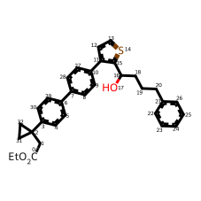 CCOC(=O)CC1(c2ccc(-c3ccc(-c4ccsc4C(O)CCCc4ccccc4)cc3)cc2)CC1